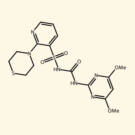 COc1cc(OC)nc(NC(=O)NS(=O)(=O)c2cccnc2N2CCSCC2)n1